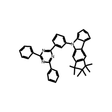 CC1(C)c2cc3c4ccccc4n(-c4cccc(-c5nc(-c6ccccc6)nc(-c6ccccc6)n5)c4)c3cc2C(C)(C)C1(C)C